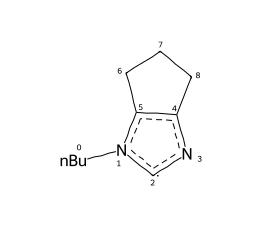 CCCCn1[c]nc2c1CCC2